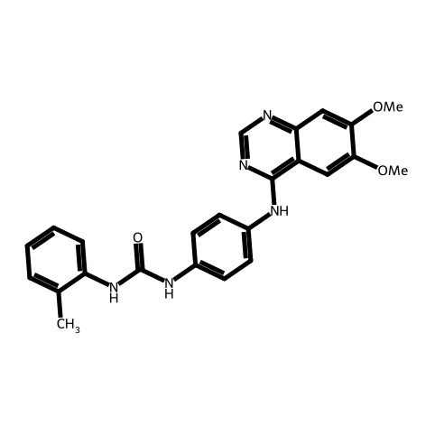 COc1cc2ncnc(Nc3ccc(NC(=O)Nc4ccccc4C)cc3)c2cc1OC